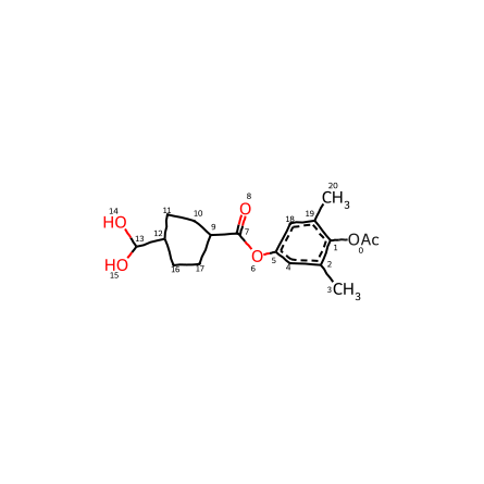 CC(=O)Oc1c(C)cc(OC(=O)C2CCC(C(O)O)CC2)cc1C